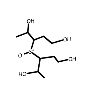 CC(O)C(CCO)[S+]([O-])C(CCO)C(C)O